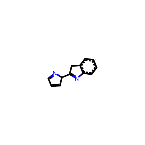 [c]1ccc2c(c1)CC(C1C=CC=N1)=N2